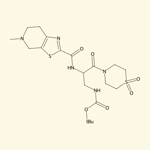 CN1CCc2nc(C(=O)NC(CNC(=O)OC(C)(C)C)C(=O)N3CCS(=O)(=O)CC3)sc2C1